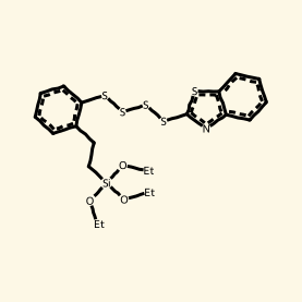 CCO[Si](CCc1ccccc1SSSSc1nc2ccccc2s1)(OCC)OCC